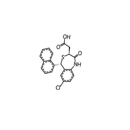 O=C(O)C[C@@H]1S[C@@H](c2cccc3ccccc23)c2cc(Cl)ccc2NC1=O